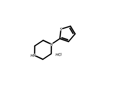 Cl.c1csc(N2CCNCC2)c1